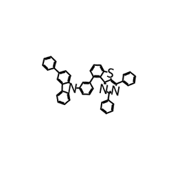 c1ccc(-c2ccc3c(c2)c2ccccc2n3-c2cccc(-c3cccc4sc5c(-c6ccccc6)nc(-c6ccccc6)nc5c34)c2)cc1